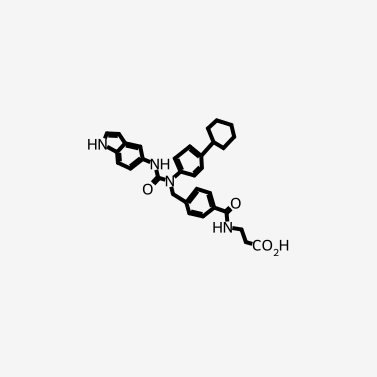 O=C(O)CCNC(=O)c1ccc(CN(C(=O)Nc2ccc3[nH]ccc3c2)c2ccc(C3CCCCC3)cc2)cc1